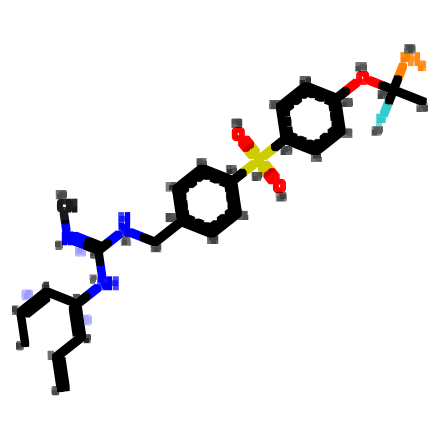 C=C/C=C(\C=C/C)N/C(=N/C#N)NCc1ccc(S(=O)(=O)c2ccc(OC(C)(F)P)cc2)cc1